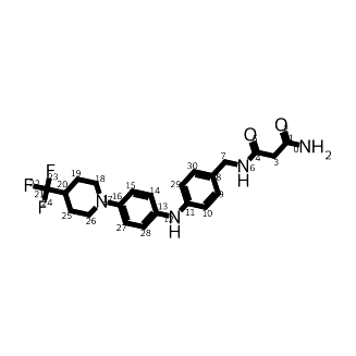 NC(=O)CC(=O)NCc1ccc(Nc2ccc(N3CCC(C(F)(F)F)CC3)cc2)cc1